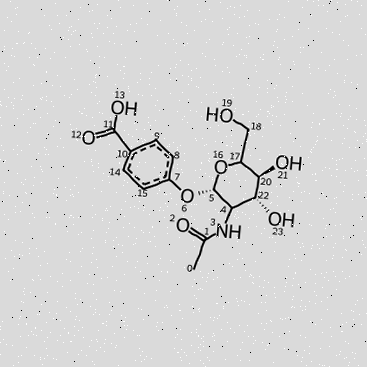 CC(=O)NC1[C@H](Oc2ccc(C(=O)O)cc2)OC(CO)[C@@H](O)[C@@H]1O